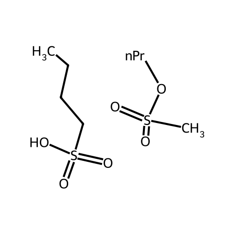 CCCCS(=O)(=O)O.CCCOS(C)(=O)=O